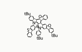 CC(C)(C)c1ccc(N2B3c4cc5c(cc4-n4c6ccc(C(C)(C)C)cc6c6c7oc8ccccc8c7c(c3c64)-c3cc4oc6ccc(C(C)(C)C)cc6c4cc32)sc2ccccc25)cc1